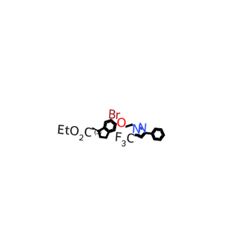 CCOC(=O)C[C@@H]1CCc2cc(OCCn3nc(-c4ccccc4)cc3C(F)(F)F)c(Br)cc21